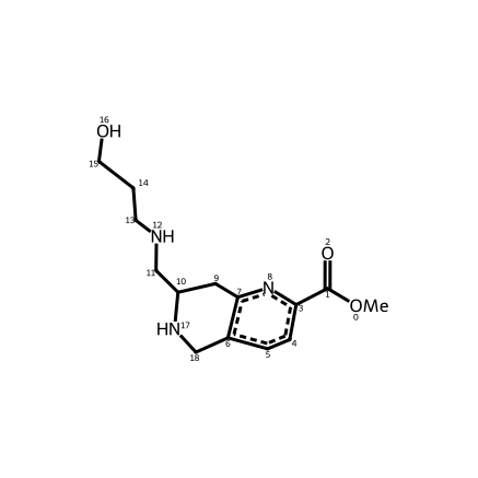 COC(=O)c1ccc2c(n1)CC(CNCCCO)NC2